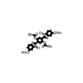 CCn1c(-c2cc(OC(=O)C(C)(C)C)c(-c3nc4ccc(OC)cc4n3CC)cc2OC(=O)C(C)(C)C)nc2cc(OC)ccc21